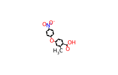 Cc1cc(Oc2ccc([N+](=O)[O-])cc2)ccc1C(=O)O